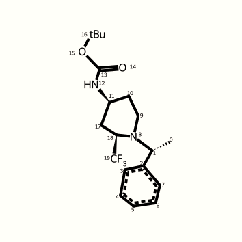 C[C@H](c1ccccc1)N1CC[C@H](NC(=O)OC(C)(C)C)C[C@@H]1C(F)(F)F